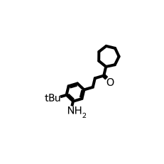 CC(C)(C)c1ccc(CCC(=O)C2CCCCCC2)cc1N